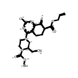 C=CCOC(=O)C1CCc2c(nc(Cl)nc2N2CCN(C(=O)OC(C)(C)C)C(CC#N)C2)C1=O